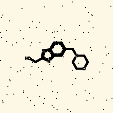 OCc1nc2cc(CN3CCOCC3)ccc2s1